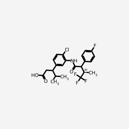 CC(C)C(CC(=O)O)c1ccc(Cl)c(NC(=O)C(c2ccc(F)cc2)[C@@H](C)C(F)(F)F)c1